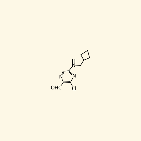 O=Cc1ncc(NCC2CCC2)nc1Cl